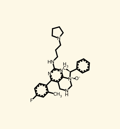 Cc1cc(F)ccc1-c1nc(NCCCN2CCCC2)nc2c1CNC[N+]2([O-])[C@@H](C)c1ccccc1